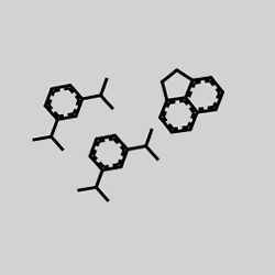 CC(C)c1cccc(C(C)C)c1.CC(C)c1cccc(C(C)C)c1.c1cc2c3c(cccc3c1)CC2